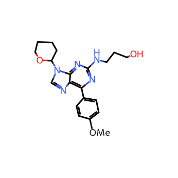 COc1ccc(-c2nc(NCCCO)nc3c2ncn3C2CCCCO2)cc1